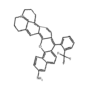 Nc1ccc2c3c(ccc2c1)C(c1ccccc1C(F)(F)F)=c1ccc2c4c5c(cc2c1O3)CCC[N+]=5CCC4